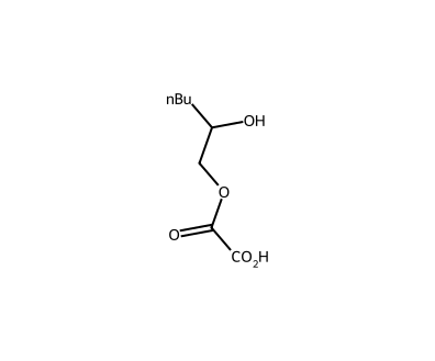 CCCCC(O)COC(=O)C(=O)O